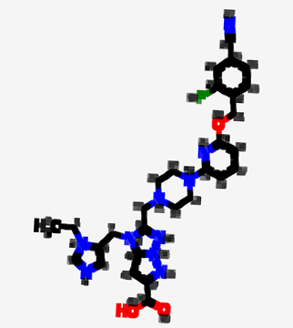 CCn1cncc1Cn1c(CN2CCN(c3cccc(OCc4ccc(C#N)cc4F)n3)CC2)nn2nc(C(=O)O)cc12